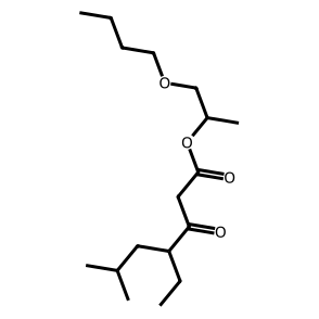 CCCCOCC(C)OC(=O)CC(=O)C(CC)CC(C)C